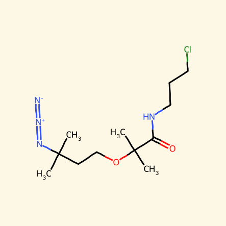 CC(C)(CCOC(C)(C)C(=O)NCCCCl)N=[N+]=[N-]